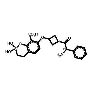 N[C@@H](C(=O)N1CC(Oc2ccc3c(c2C(=O)O)O[B-](O)(O)CC3)C1)c1ccccc1